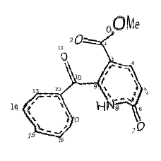 COC(=O)c1ccc(=O)[nH]c1C(=O)c1ccccc1